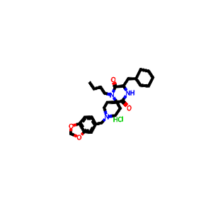 CCCCN1C(=O)C(CC2CCCCC2)NC(=O)C12CCN(Cc1ccc3c(c1)OCO3)CC2.Cl